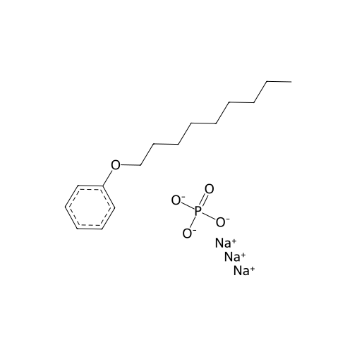 CCCCCCCCCOc1ccccc1.O=P([O-])([O-])[O-].[Na+].[Na+].[Na+]